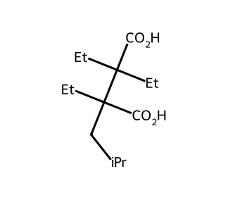 CCC(CC)(C(=O)O)C(CC)(CC(C)C)C(=O)O